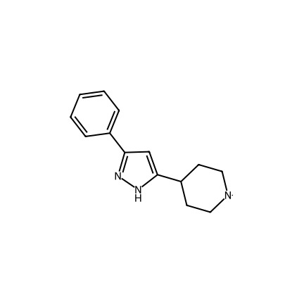 c1ccc(-c2cc(C3CC[N]CC3)[nH]n2)cc1